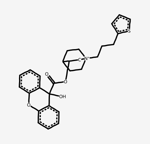 O=C(OC1C[N+]2(CCCc3cccs3)CCC1CC2)C1(O)c2ccccc2Oc2ccccc21